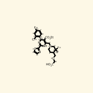 CCOC(=O)C1=C(CN2CCC(COCC(=O)O)C(F)(F)C2)NC(c2nccs2)=N[C@H]1c1ccc(F)cc1Cl